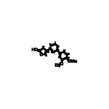 CCOc1cc(-c2cccc(C3=COB(O)C3)n2)ccc1OC